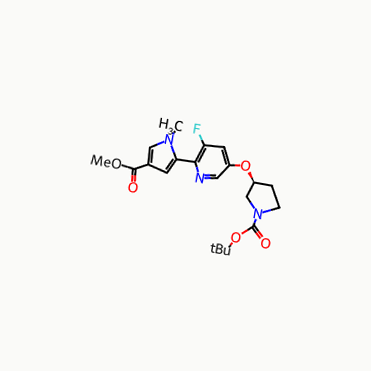 COC(=O)c1cc(-c2ncc(O[C@H]3CCN(C(=O)OC(C)(C)C)C3)cc2F)n(C)c1